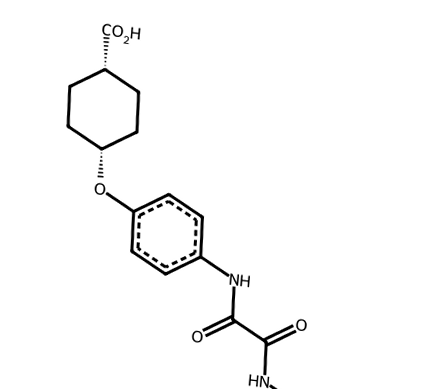 NNC(=O)C(=O)Nc1ccc(O[C@H]2CC[C@@H](C(=O)O)CC2)cc1